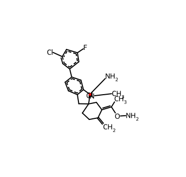 C=C1CCC2(C/C1=C(\C)ON)Cc1ccc(-c3cc(F)cc(Cl)c3)cc1C21N=C(N)N(C)O1